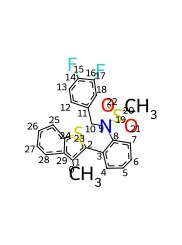 Cc1c(-c2ccccc2N(Cc2ccc(F)c(F)c2)S(C)(=O)=O)sc2ccccc12